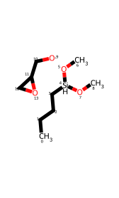 CCCC[SiH](OC)OC.[O]CC1CO1